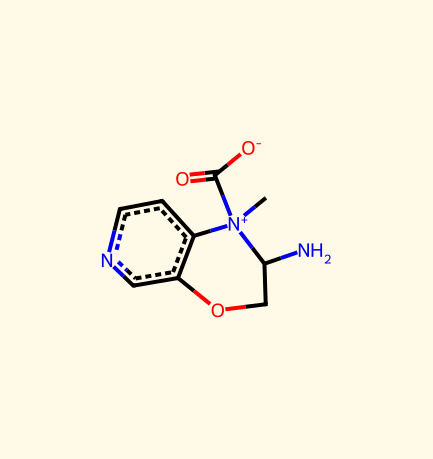 C[N+]1(C(=O)[O-])c2ccncc2OCC1N